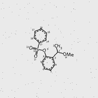 COC(C)c1ccccc1OS(=O)(=O)c1ccccc1